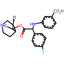 O=C(O)c1cccc(NC(C(=O)O[C@H]2CN3CCC2CC3)c2ccc(F)cc2)c1